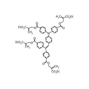 C=C(COC(=O)c1ccc(C(=Cc2ccc(N(c3ccc(C(=O)OCC(=C)C(=O)OCC)cc3)c3ccc(C(=O)OCC(=C)C(=O)OCC)cc3)cc2)c2ccc(C(=O)OCC(=C)C(=O)OCC)cc2)cc1)C(=O)OCC